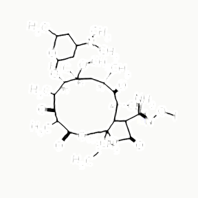 CC[C@@H]1OC(=O)C(C)C(=O)C(C)[C@@H](OC2CC(N(C)C)CC(C)O2)[C@](C)(OC)C[C@@H](C)C(=O)[C@H](C)C2C(/C(N)=N/OI)C(=O)OC21C